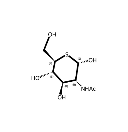 CC(=O)N[C@@H]1[C@@H](O)[C@H](O)[C@@H](CO)S[C@@H]1O